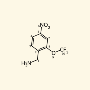 NCc1ccc([N+](=O)[O-])cc1OC(F)(F)F